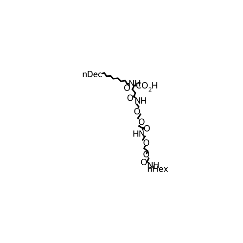 CCCCCCCCCCCCCCCCCC(=O)NC(CCC(=O)NCCOCCOCC(=O)NCCOCCOCC(=O)NCCCCCC)C(=O)O